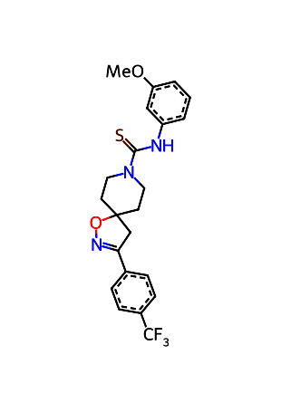 COc1cccc(NC(=S)N2CCC3(CC2)CC(c2ccc(C(F)(F)F)cc2)=NO3)c1